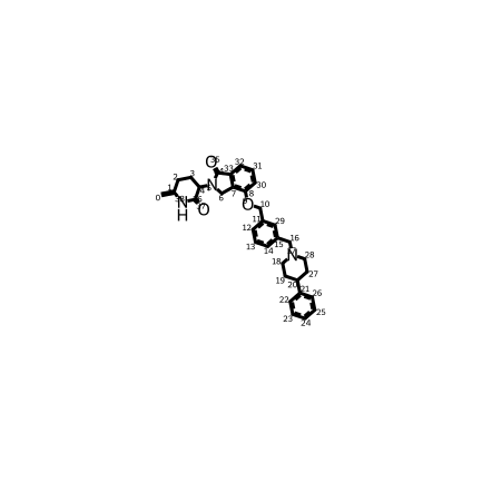 C=C1CCC(N2Cc3c(OCc4cccc(CN5CCC(c6ccccc6)CC5)c4)cccc3C2=O)C(=O)N1